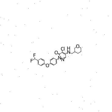 O=c1c(Cl)c(NCC2CCCOC2)cnn1-c1ccc(Oc2ccc(C(F)F)cc2)cc1